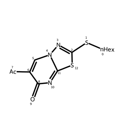 CCCCCCSc1nn2cc(C(C)=O)c(=O)nc2s1